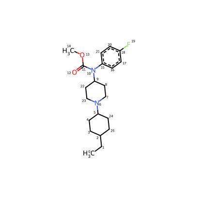 CCC1CCC(N2CCC(N(C(=O)OC)c3ccc(F)cc3)CC2)CC1